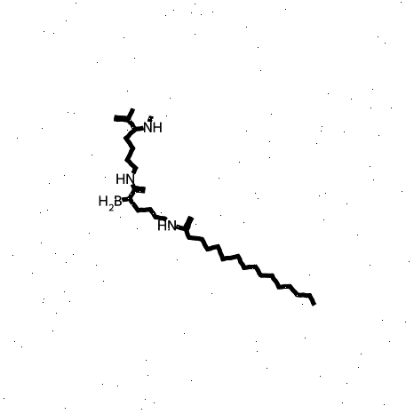 BC(CCCCNC(=C)CCCCCCCCCCCCCCC)C(=C)NCCCCC(NC)C(=C)C